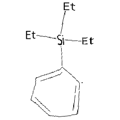 CC[Si](CC)(CC)c1[c]cccc1